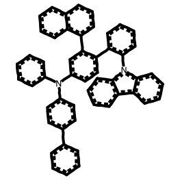 c1ccc(-c2ccc(N(c3ccccc3)c3ccc(-c4ccccc4-n4c5ccccc5c5ccccc54)c(-c4cccc5ccccc45)c3)cc2)cc1